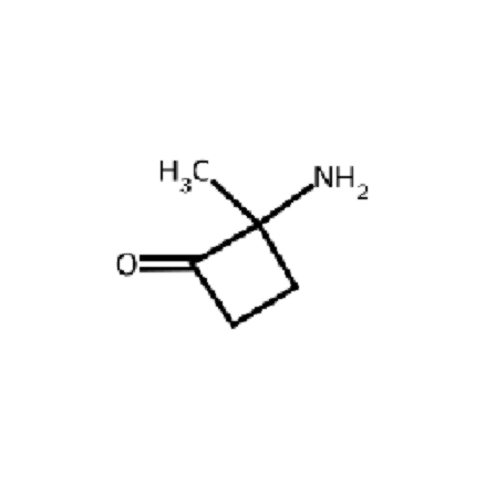 CC1(N)CCC1=O